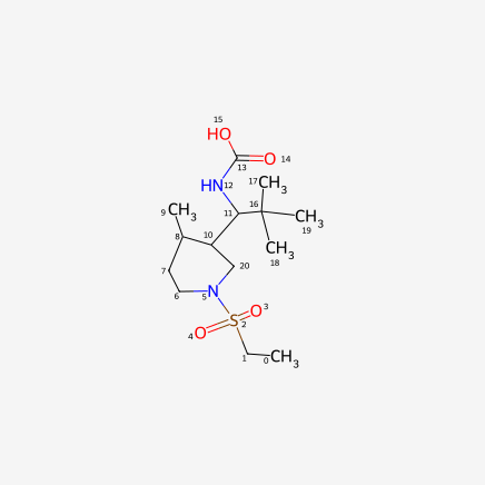 CCS(=O)(=O)N1CCC(C)C(C(NC(=O)O)C(C)(C)C)C1